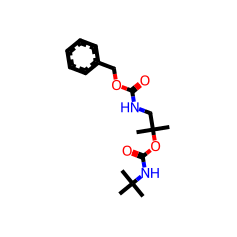 CC(C)(C)NC(=O)OC(C)(C)CNC(=O)OCc1ccccc1